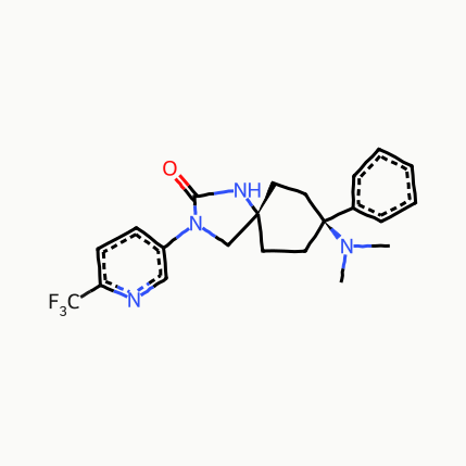 CN(C)[C@]1(c2ccccc2)CC[C@@]2(CC1)CN(c1ccc(C(F)(F)F)nc1)C(=O)N2